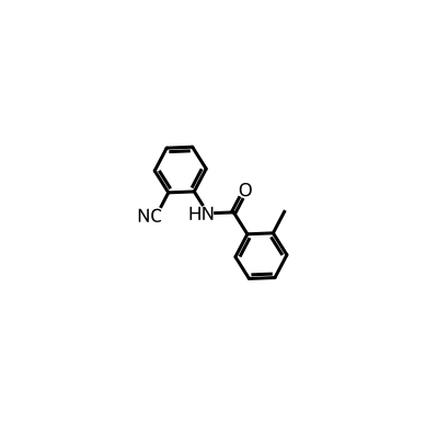 Cc1ccccc1C(=O)Nc1ccccc1C#N